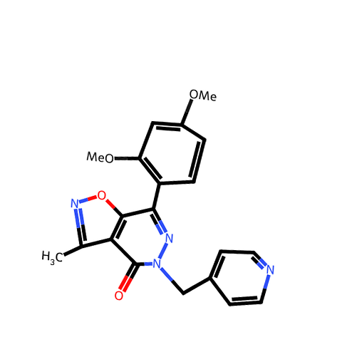 COc1ccc(-c2nn(Cc3ccncc3)c(=O)c3c(C)noc23)c(OC)c1